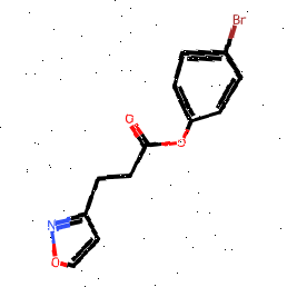 O=C(CCc1ccon1)Oc1ccc(Br)cc1